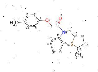 Cc1ccc(OCC(=O)N(CC2CCC(C)S2)c2ccccc2)cc1